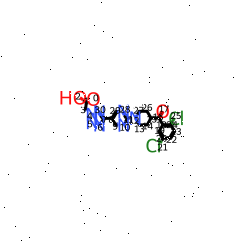 O=C(O)Cn1nnc(-c2cnc(N3CCC(C(=O)c4cc(Cl)ccc4Cl)CC3)nc2)n1